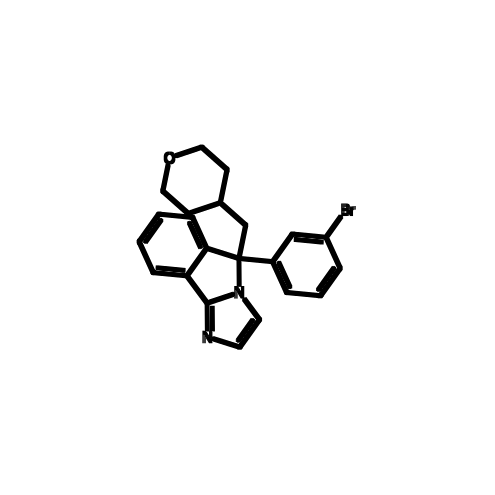 Brc1cccc(C2(CC3CCOCC3)c3ccccc3-c3nccn32)c1